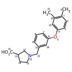 Cc1ccc(Oc2cccc(CN3CCC(C(=O)O)C3)c2)cc1C